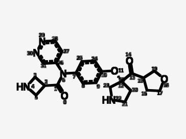 O=C(C1CNC1)N(c1ccc(O[C@]2(C(=O)C3CCOC3)CCNC2)cc1)c1ccnnc1